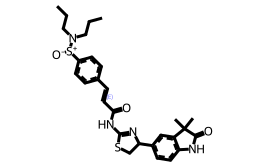 CCCN(CCC)[S+]([O-])c1ccc(/C=C/C(=O)NC2=NC(c3ccc4c(c3)C(C)(C)C(=O)N4)CS2)cc1